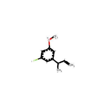 C=C[C](C)c1cc(F)cc(OC(F)(F)F)c1